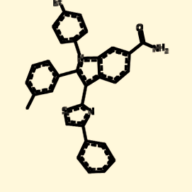 CCc1ccc(-n2c(-c3cccc(C)c3)c(-c3nc(-c4ccccc4)cs3)c3ccc(C(N)=O)cc32)cc1